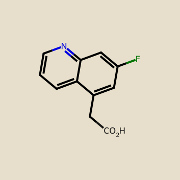 O=C(O)Cc1cc(F)cc2ncccc12